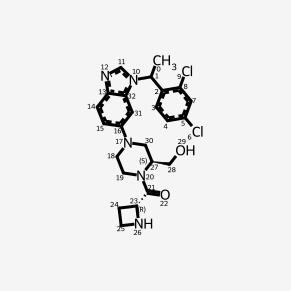 CC(c1ccc(Cl)cc1Cl)n1cnc2ccc(N3CCN(C(=O)[C@H]4CCN4)[C@H](CO)C3)cc21